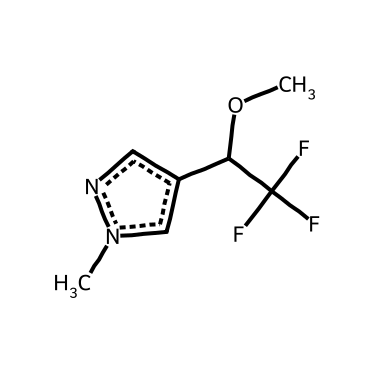 COC(c1cnn(C)c1)C(F)(F)F